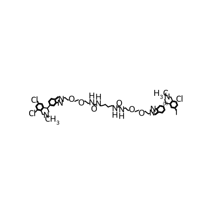 CN1Cc2c(Cl)cc(Cl)cc2C(c2ccc3cn(CCOCCOCCNC(=O)NCCCCNC(=O)NCCOCCOCCn4cc5ccc([C@@H]6CN(C)Cc7c(Cl)cc(I)cc76)cc5n4)nc3c2)C1